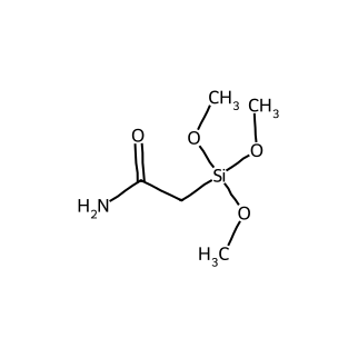 CO[Si](CC(N)=O)(OC)OC